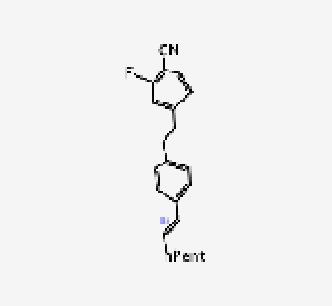 CCCCC/C=C/c1ccc(CCc2ccc(C#N)c(F)c2)cc1